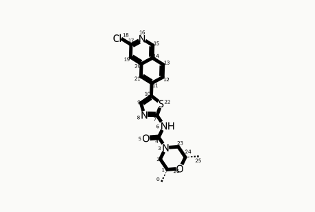 C[C@@H]1CN(C(=O)Nc2ncc(-c3ccc4cnc(Cl)cc4c3)s2)C[C@H](C)O1